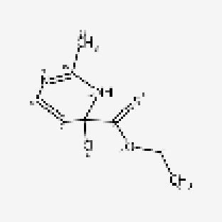 CCOC(=S)C1(Cl)C=CN=C(C)N1